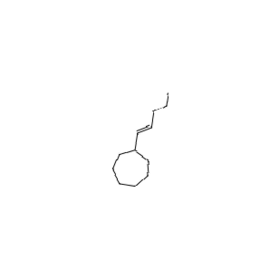 CCCC=CC1CCCCCC1